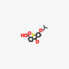 CC(C)COc1ccc2c(=O)c3cccc(C(=O)O)c3sc2c1